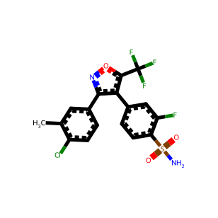 Cc1cc(-c2noc(C(F)(F)F)c2-c2ccc(S(N)(=O)=O)c(F)c2)ccc1Cl